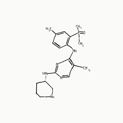 Cc1ccc(Nc2nc(N[C@H]3CCCNC3)ncc2C(F)(F)F)c(P(C)(C)=O)c1